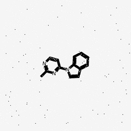 Cc1nccc(-n2ccc3c[c]ccc32)n1